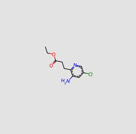 CCOC(=O)CCc1ncc(Cl)cc1N